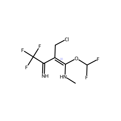 CN/C(OC(F)F)=C(/CCl)C(=N)C(F)(F)F